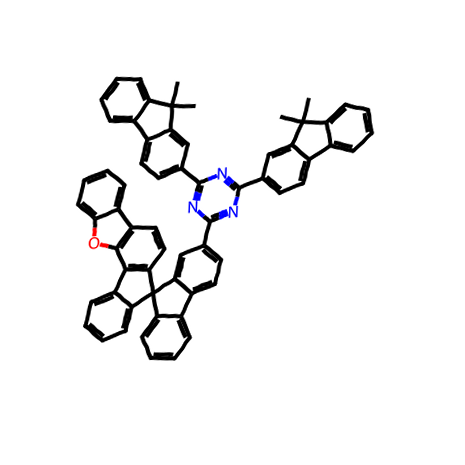 CC1(C)c2ccccc2-c2ccc(-c3nc(-c4ccc5c(c4)C(C)(C)c4ccccc4-5)nc(-c4ccc5c(c4)C4(c6ccccc6-5)c5ccccc5-c5c4ccc4c5oc5ccccc54)n3)cc21